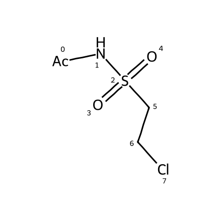 CC(=O)NS(=O)(=O)CCCl